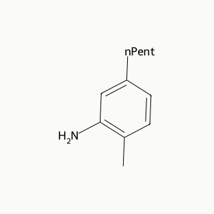 CCCCCc1ccc(C)c(N)c1